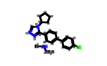 CCNC(=O)O.Clc1ccc(-c2ccc(-c3nncn3C3CCCC3)cc2)cc1